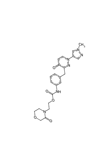 Cn1cc(-n2ccc(=O)c(Cc3cccc(NC(=O)OCCN4CCOCC4=O)c3)n2)cn1